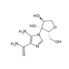 NC(=O)c1ncn([C@@]2(O)[C@@H](O)CO[C@@H]2CO)c1N